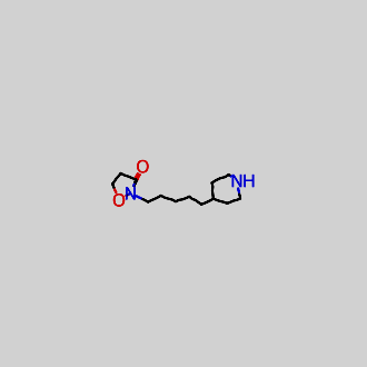 O=C1CCON1CCCCCC1CCNCC1